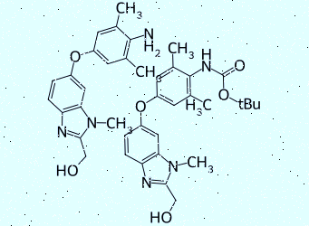 Cc1cc(Oc2ccc3nc(CO)n(C)c3c2)cc(C)c1N.Cc1cc(Oc2ccc3nc(CO)n(C)c3c2)cc(C)c1NC(=O)OC(C)(C)C